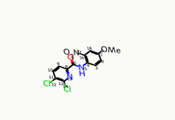 COc1ccc(NC(=O)c2ccc(Cl)c(Cl)n2)c([N+](=O)[O-])c1